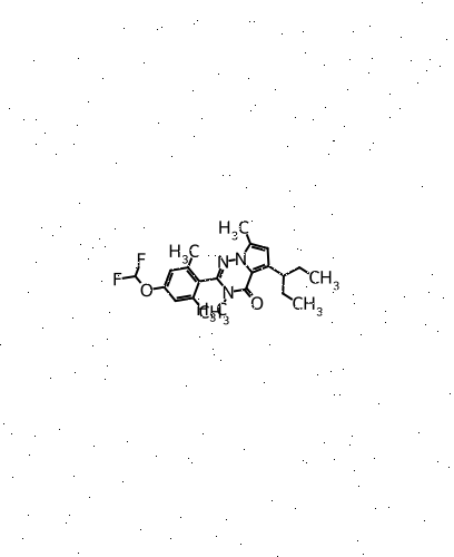 CCC(CC)c1cc(C)n2nc(-c3c(C)cc(OC(F)F)cc3C)n(C)c(=O)c12